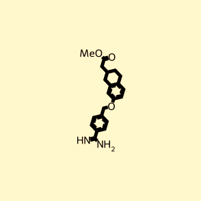 COC(=O)CC1CCc2ccc(OCc3ccc(C(=N)N)cc3)cc2C1